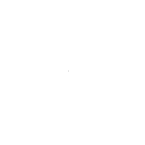 O=C(Nc1ccc(S(=O)(=O)F)cc1)C1CCCC1NS(=O)(=O)c1ccc(Cl)cc1